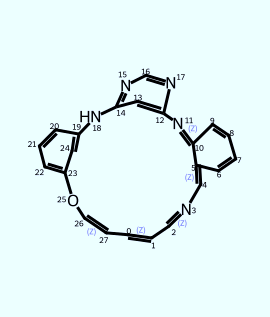 C1=C\C=N/C=c2/cccc/c2=N/c2cc(ncn2)Nc2cccc(c2)O\C=C/1